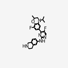 CC1CN(C(C)C)c2cc(-c3nc(Nc4ccc5c(c4)CCNC5)ncc3F)cc(F)c2O1